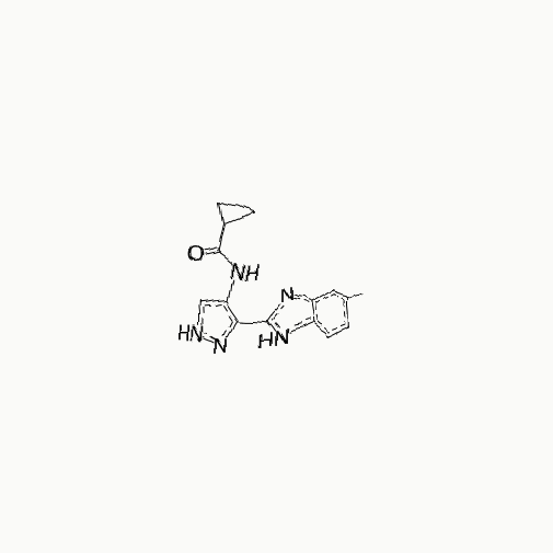 Cc1ccc2[nH]c(-c3n[nH]cc3NC(=O)C3CC3)nc2c1